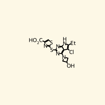 CCc1[nH]c2nc(Sc3nc(C(=O)O)cs3)nc(N3CC(O)C3)c2c1Cl